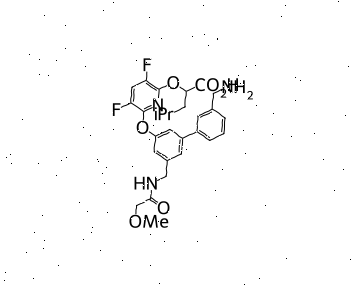 COCC(=O)NCc1cc(Oc2nc(OC(CC(C)C)C(=O)O)c(F)cc2F)cc(-c2cccc(CN)c2)c1